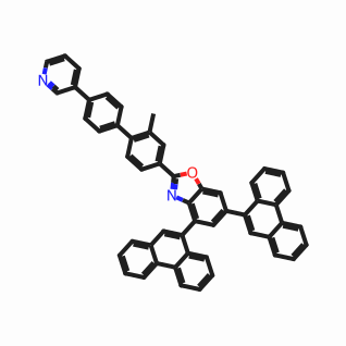 Cc1cc(-c2nc3c(-c4cc5ccccc5c5ccccc45)cc(-c4cc5ccccc5c5ccccc45)cc3o2)ccc1-c1ccc(-c2cccnc2)cc1